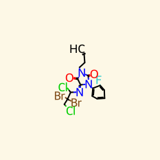 C#CCCN1C(=O)C(=NC(Cl)C(Br)(Br)CCl)N(c2ccccc2F)C1=O